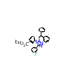 CCOC(=O)c1cccc(-n2c(CC(c3ccccc3)c3ccccc3)nnc2-c2cccc(F)c2)c1